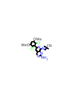 COc1cc(OC)c(Cl)c(-c2cc3cnc(N)nc3c(N3CC(C)(C#N)C3)n2)c1Cl